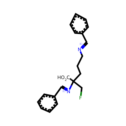 O=C(O)C(CF)(CCC/N=C/c1ccccc1)/N=C/c1ccccc1